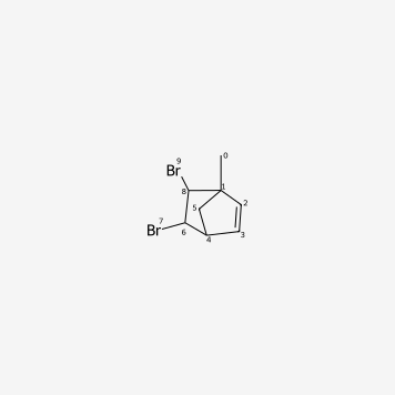 CC12C=CC(C1)C(Br)C2Br